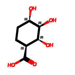 O=C(O)[C@H]1CC[C@H](O)[C@@H](O)[C@@H]1O